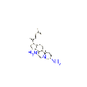 C=C(C)CCC(C)C1CCC2C1(C)CCC1C2(N)CCN2CC(N)CCC12C